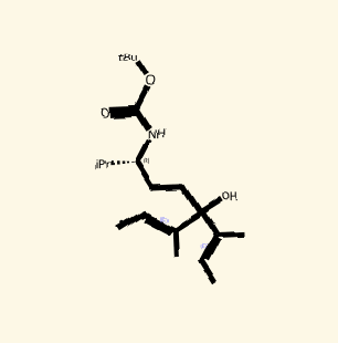 C/C=C(\C)C(O)(CC[C@@H](NC(=O)OC(C)(C)C)C(C)C)/C(C)=C/C